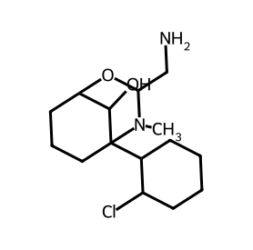 CN1C(CN)OC2CCCC1(C1CCCCC1Cl)C2O